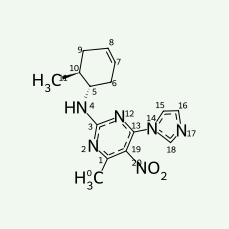 Cc1nc(N[C@H]2CC=CC[C@@H]2C)nc(-n2ccnc2)c1[N+](=O)[O-]